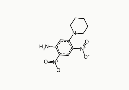 Nc1cc(N2CCCCC2)c([N+](=O)[O-])cc1[N+](=O)[O-]